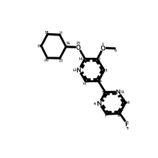 COc1cc(-c2ncc(F)cn2)cnc1OC1CCCCC1